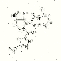 O=C(c1nnc(C2CC2)o1)N1CCc2[nH]cnc2[C@@H]1c1cc2cccc(F)n2n1